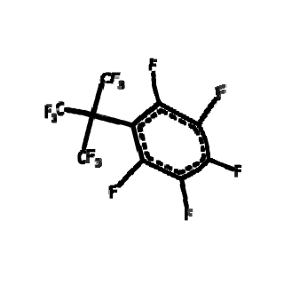 Fc1c(F)c(F)c(C(C(F)(F)F)(C(F)(F)F)C(F)(F)F)c(F)c1F